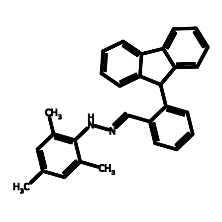 Cc1cc(C)c(N/N=C/c2ccccc2C2c3ccccc3-c3ccccc32)c(C)c1